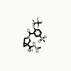 CNNC(=N)C12CC1CN(C(=O)c1cc(S(C)(=O)=O)ccc1O[C@@H](C)C(F)(F)F)C2